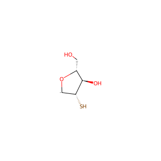 OC[C@H]1O[CH][C@@H](S)[C@@H]1O